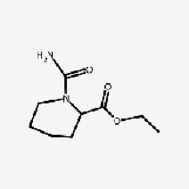 CCOC(=O)C1CCCCN1C(N)=O